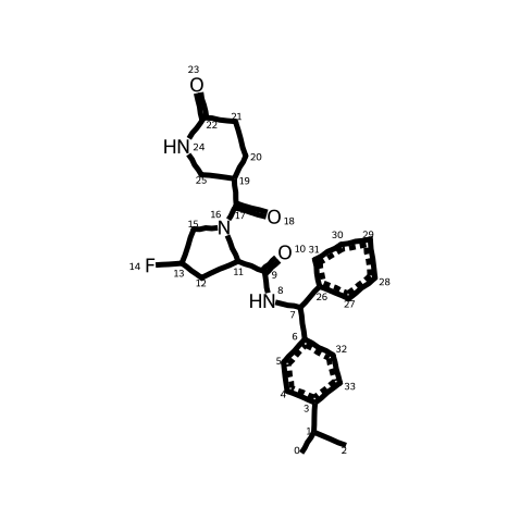 CC(C)c1ccc(C(NC(=O)C2CC(F)CN2C(=O)C2CCC(=O)NC2)c2ccccc2)cc1